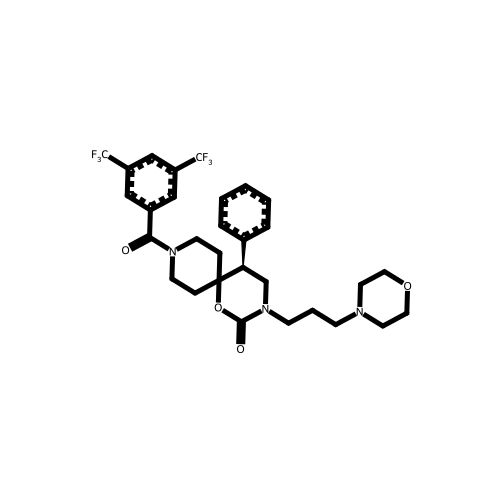 O=C1OC2(CCN(C(=O)c3cc(C(F)(F)F)cc(C(F)(F)F)c3)CC2)[C@@H](c2ccccc2)CN1CCCN1CCOCC1